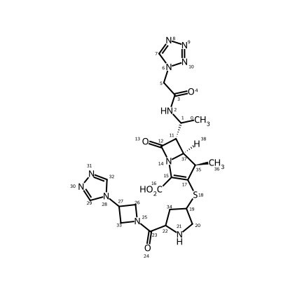 CC(NC(=O)Cn1cnnn1)[C@H]1C(=O)N2C(C(=O)O)=C(SC3CNC(C(=O)N4CC(n5cnnc5)C4)C3)[C@H](C)[C@H]12